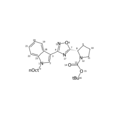 CCCCCCCCn1cc(-c2noc([C@@H]3CCCN3C(=O)OC(C)(C)C)n2)c2ccccc21